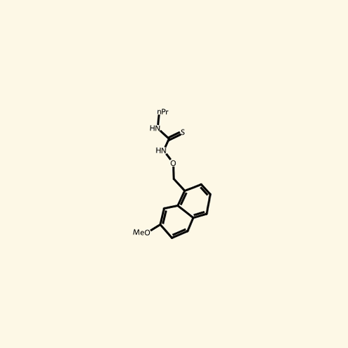 CCCNC(=S)NOCc1cccc2ccc(OC)cc12